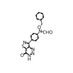 O=CN(OCc1ccccc1)c1ccc(-c2nsc3c(=O)[nH]nnc23)cc1